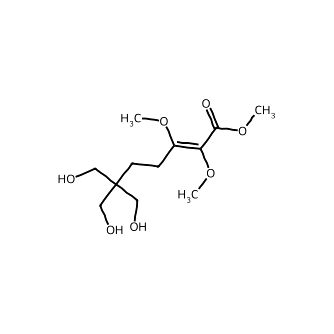 COC(=O)C(OC)=C(CCC(CO)(CO)CO)OC